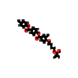 C=C(C)C(=O)OCCCCOc1ccc(C(=O)Oc2ccc(C(=O)Oc3ccc(C)cc3)cc2)cc1C